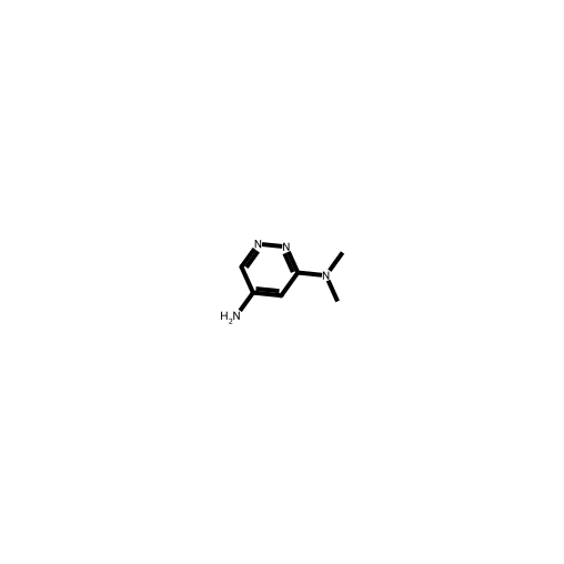 CN(C)c1cc(N)cnn1